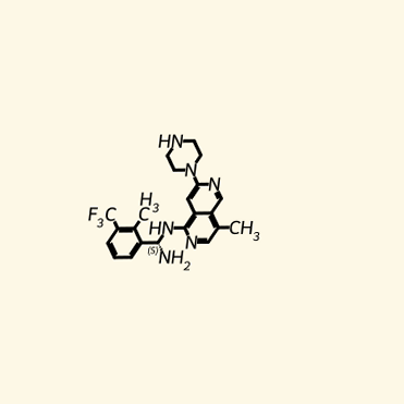 Cc1c([C@@H](N)Nc2ncc(C)c3cnc(N4CCNCC4)cc23)cccc1C(F)(F)F